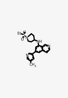 CCS(=O)(=O)N1CCC(Nc2cc(-c3cncc(C)c3)cc3ccncc23)CC1